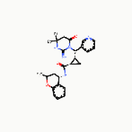 CCC1(CC)CC(=O)N(C(c2cccnc2)[C@@H]2C[C@H]2C(=O)N[C@H]2CC(C(F)(F)F)Oc3ccccc32)C(=N)N1